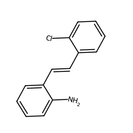 Nc1ccccc1C=Cc1ccccc1Cl